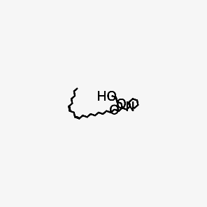 CCCCC/C=C\C/C=C\CCCCCCCCOCC(CN1CCCCC1)OCCO